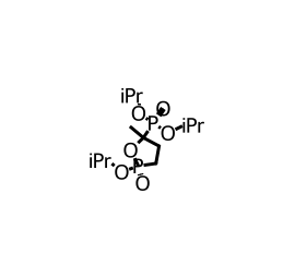 CC(C)OP1(=O)CCC(C)(P(=O)(OC(C)C)OC(C)C)O1